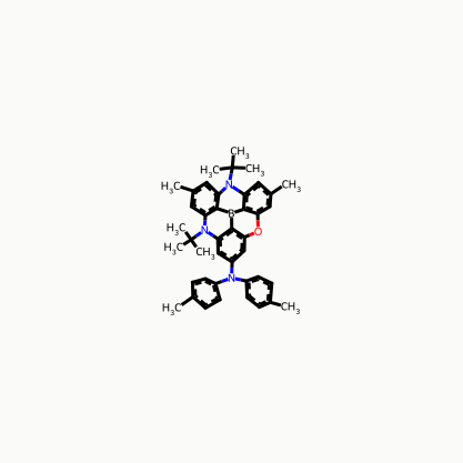 Cc1ccc(N(c2ccc(C)cc2)c2cc3c4c(c2)N(C(C)(C)C)c2cc(C)cc5c2B4c2c(cc(C)cc2N5C(C)(C)C)O3)cc1